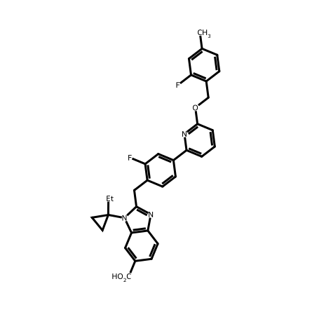 CCC1(n2c(Cc3ccc(-c4cccc(OCc5ccc(C)cc5F)n4)cc3F)nc3ccc(C(=O)O)cc32)CC1